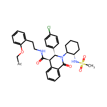 CC(=O)COc1ccccc1CCNC(=O)[C@@H]1c2ccccc2C(=O)N([C@H]2CCCC[C@@H]2NS(C)(=O)=O)[C@H]1c1ccc(Cl)cc1